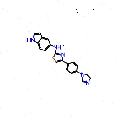 C1=NCCN1c1ccc(-c2csc(Nc3ccc4[nH]ccc4c3)n2)cc1